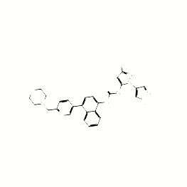 Cn1cc(-n2nc(C(C)(C)C)cc2NC(=O)Nc2ccc(-c3ccc(CN4CCOCC4)nc3)c3ccccc23)cn1